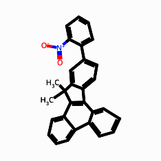 CC1(C)c2cc(-c3ccccc3[N+](=O)[O-])ccc2-c2c1c1ccccc1c1ccccc21